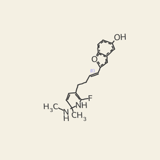 CNC1(C)C=CC(CC/C=C/c2cc3cc(O)ccc3o2)=C(F)N1